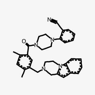 Cc1cc(C)c(C(=O)N2CCN(c3ccccc3C#N)CC2)cc1CN1CCn2c(cc3ccccc32)C1